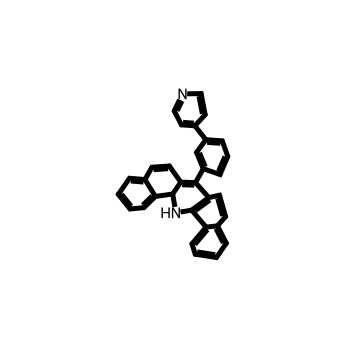 C1=Cc2ccccc2C2Nc3c(ccc4ccccc34)C(c3cccc(-c4ccncc4)c3)=C12